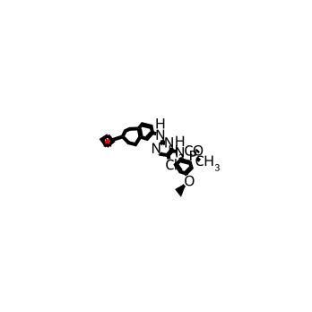 CP(C)(=O)c1cc(OC2CC2)ccc1Nc1nc(Nc2ccc3c(c2)CCC(N2CC4CC2C4)CC3)ncc1Cl